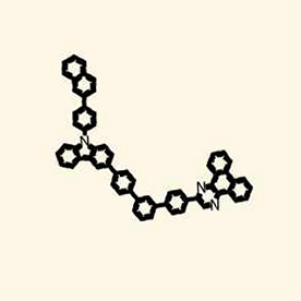 c1cc(-c2ccc(-c3ccc4c(c3)c3ccccc3n4-c3ccc(-c4ccc5ccccc5c4)cc3)cc2)cc(-c2ccc(-c3cnc4c5ccccc5c5ccccc5c4n3)cc2)c1